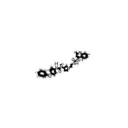 Cc1cc(NC(=O)NCCN2CCC(N(C)C(=O)Nc3ccc(Oc4ccccc4)cc3)C2)c2ccccc2n1